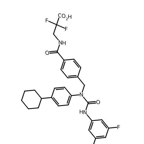 O=C(NCC(F)(F)C(=O)O)c1ccc(CN(C(=O)Nc2cc(F)cc(F)c2)c2ccc(C3CCCCC3)cc2)cc1